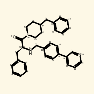 O=C([C@H](Cc1ccccc1)NCc1ccc(-c2cccnc2)cc1)N1CCC(Cc2ccccc2)CC1